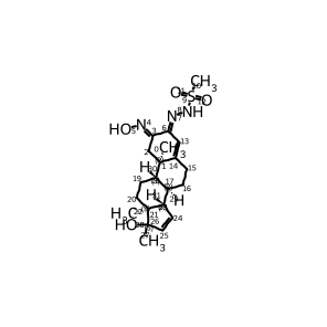 C[C@]12CC(=NO)C(=NNS(C)(=O)=O)C=C1CC[C@@H]1[C@@H]2CC[C@@]2(C)[C@H]1C=C[C@]2(C)O